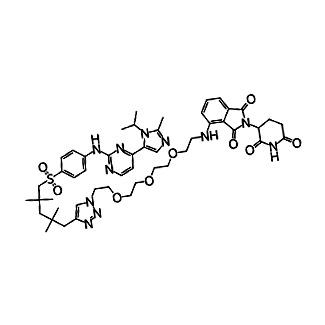 Cc1ncc(-c2ccnc(Nc3ccc(S(=O)(=O)CC(C)(C)CC(C)(C)Cc4cn(CCOCCOCCOCCNc5cccc6c5C(=O)N(C5CCC(=O)NC5=O)C6=O)nn4)cc3)n2)n1C(C)C